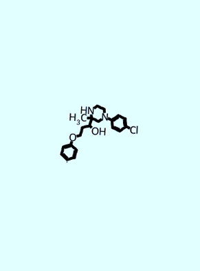 CC1(C(O)CCOc2cc[c]cc2)CN(c2ccc(Cl)cc2)CCN1